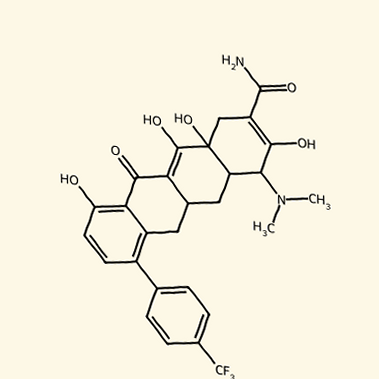 CN(C)C1C(O)=C(C(N)=O)CC2(O)C(O)=C3C(=O)c4c(O)ccc(-c5ccc(C(F)(F)F)cc5)c4CC3CC12